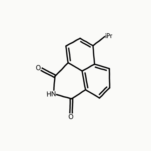 CC(C)c1ccc2c3c(cccc13)C(=O)NC2=O